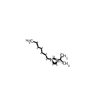 CCCCCCC[n+]1ccn(C(C)C)c1